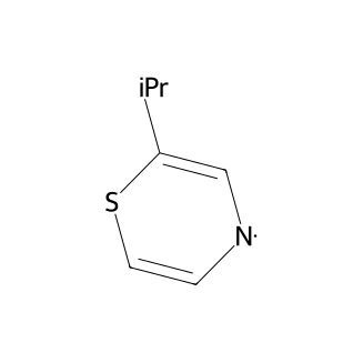 CC(C)C1=C[N]C=CS1